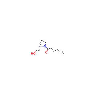 C=CCCC(=O)N1CCC[C@H]1CCO